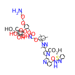 Cc1c(-c2ccc(-c3cnc4cccc(C(=O)Nc5nc6ccccc6s5)c4c3)nc2C(=O)O)cnn1CC12CC3(C)CC(C)(C1)CC(OCCN(C)C(=O)OCc1ccc(OCCOCCN)cc1O[C@@H]1O[C@H](C(=O)O)[C@@H](O)[C@H](O)[C@H]1O)(C3)C2